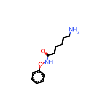 NCCCCCC(=O)NOc1ccccc1